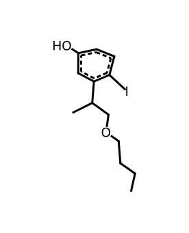 CCCCOCC(C)c1cc(O)ccc1I